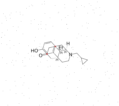 CC[C@@]12CCC(=O)C[C@@]13CCN(CC1CC1)[C@@H]2Cc1ccc(O)cc13